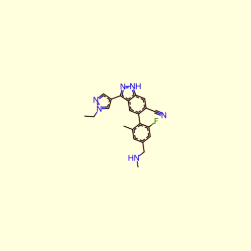 CCn1cc(-c2n[nH]c3cc(C#N)c(-c4c(C)cc(CNC)cc4F)cc23)cn1